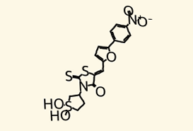 O=C1C(=Cc2ccc(-c3ccc([N+](=O)[O-])cc3)o2)SC(=S)N1C1CCS(O)(O)C1